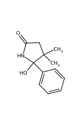 CC1(C)CC(=O)NC1(O)c1ccccc1